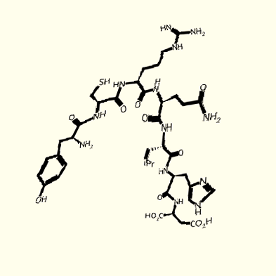 CC(C)C[C@H](NC(=O)[C@H](CCC(N)=O)NC(=O)[C@H](CCCNC(=N)N)NC(=O)[C@H](CS)NC(=O)[C@@H](N)Cc1ccc(O)cc1)C(=O)N[C@@H](Cc1c[nH]cn1)C(=O)N[C@@H](CC(=O)O)C(=O)O